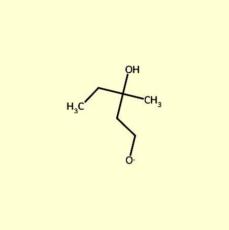 CCC(C)(O)CC[O]